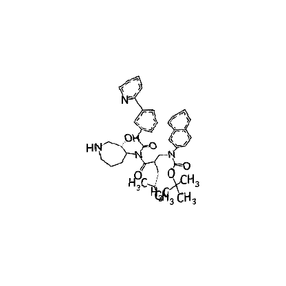 CC(C)CC(CN(C(=O)OC(C)(C)C)c1ccc2ccccc2c1)C(=O)N(C(=O)Cc1cccc(-c2ccccn2)c1)C1CCCNC[C@@H]1O